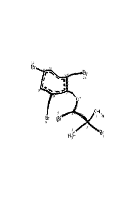 CC(C)(Br)C(Br)Oc1c(Br)cc(Br)cc1Br